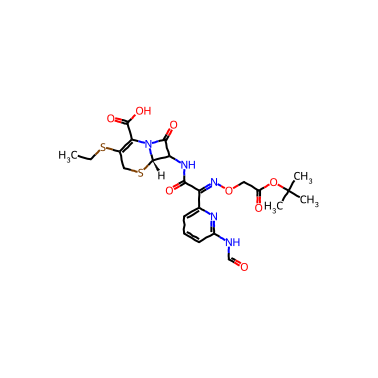 CCSC1=C(C(=O)O)N2C(=O)C(NC(=O)C(=NOCC(=O)OC(C)(C)C)c3cccc(NC=O)n3)[C@@H]2SC1